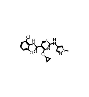 Cn1cc(Nc2ncc(C(=O)Nc3c(Cl)cccc3Cl)c(OC3CC3)n2)cn1